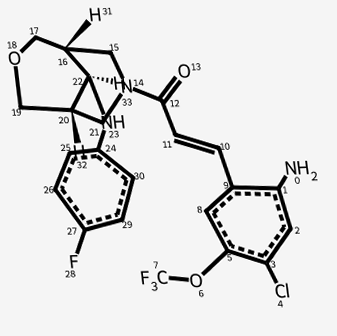 Nc1cc(Cl)c(OC(F)(F)F)cc1/C=C/C(=O)N1C[C@H]2COC[C@@H](C1)[C@@H]2Nc1ccc(F)cc1